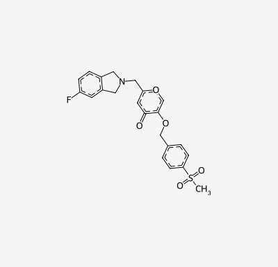 CS(=O)(=O)c1ccc(COc2coc(CN3Cc4ccc(F)cc4C3)cc2=O)cc1